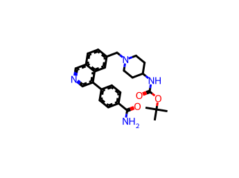 CC(C)(C)OC(=O)NC1CCN(Cc2ccc3cncc(-c4ccc(C(N)=O)cc4)c3c2)CC1